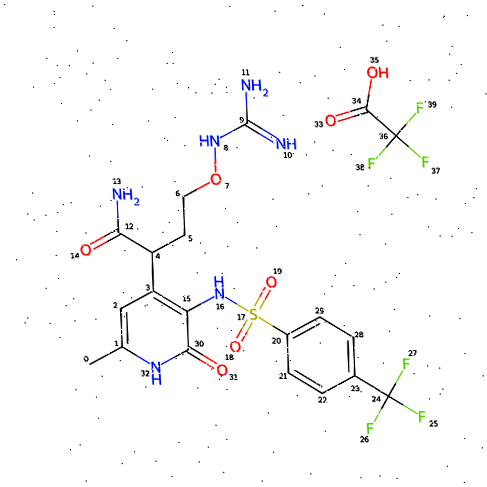 Cc1cc(C(CCONC(=N)N)C(N)=O)c(NS(=O)(=O)c2ccc(C(F)(F)F)cc2)c(=O)[nH]1.O=C(O)C(F)(F)F